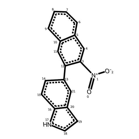 O=[N+]([O-])c1cc2ccccc2cc1-c1ccc2[nH]ccc2c1